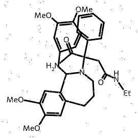 CCNC(=O)CC(C(N)=O)(c1ccccc1)N1CCCc2cc(OC)c(OC)cc2C1Cc1ccc(OC)c(OC)c1